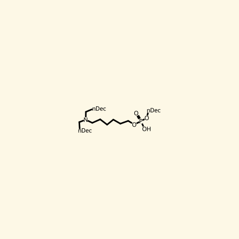 CCCCCCCCCCCN(CCCCCCCCCCC)CCCCCCOP(=O)(O)OCCCCCCCCCC